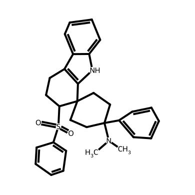 CN(C)C1(c2ccccc2)CCC2(CC1)c1[nH]c3ccccc3c1CCC2S(=O)(=O)c1ccccc1